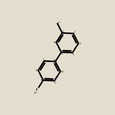 Cc1c[c]cc(-c2ccc(F)cc2)c1